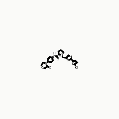 O=C(Nc1ccc(N2CCOCC2=O)cc1)[C@H]1CCCN1Cc1cnc(-c2ccc(Cl)s2)s1